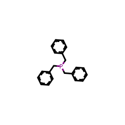 c1ccc(CP(Cc2ccccc2)Cc2ccccc2)cc1